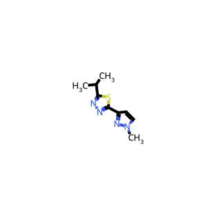 CC(C)c1nnc(-c2ccn(C)n2)s1